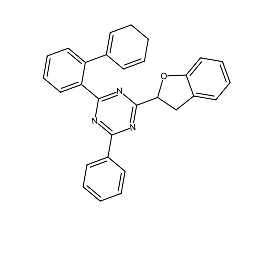 C1=CC(c2ccccc2-c2nc(-c3ccccc3)nc(C3Cc4ccccc4O3)n2)=CCC1